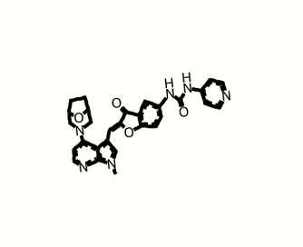 Cn1cc(C=C2Oc3ccc(NC(=O)Nc4ccncc4)cc3C2=O)c2c(N3CC4CCC(C3)O4)ccnc21